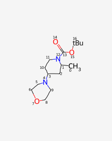 CC1CC(N2CCOCC2)CCN1C(=O)OC(C)(C)C